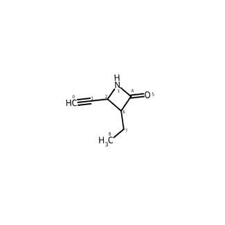 C#CC1NC(=O)C1CC